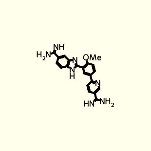 COc1ccc(-c2ccc(C(=N)N)cn2)cc1-c1nc2cc(C(=N)N)ccc2[nH]1